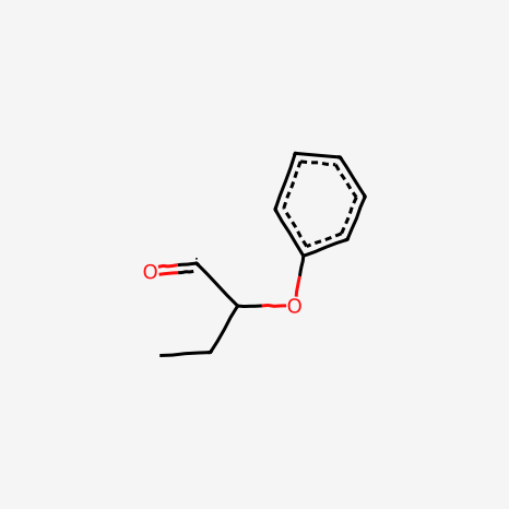 CCC([C]=O)Oc1ccccc1